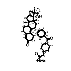 CNC(=O)CN1CCN(C(=O)c2ccc([C@H]3CC4(C)[C@@H](CC[C@@]4(O)C(F)(F)C(F)(F)F)C4CCC5=CC(=O)CCC5=C43)cc2)CC1